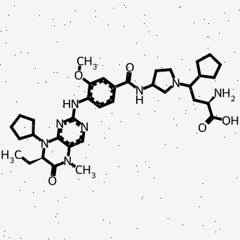 CC[C@@H]1C(=O)N(C)c2cnc(Nc3ccc(C(=O)NC4CCN(C(C[C@@H](N)C(=O)O)C5CCCC5)C4)cc3OC)nc2N1C1CCCC1